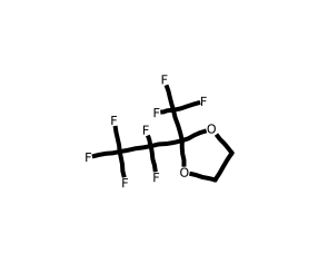 FC(F)(F)C(F)(F)C1(C(F)(F)F)OCCO1